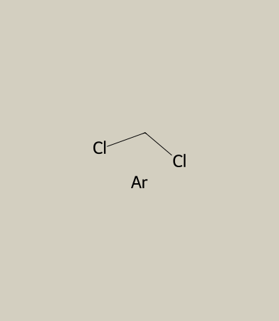 ClCCl.[Ar]